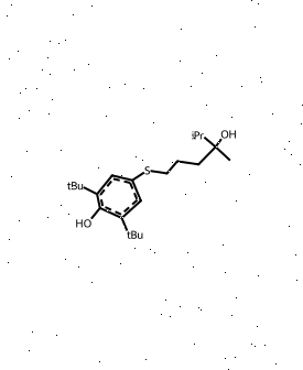 CC(C)C(C)(O)CCCSc1cc(C(C)(C)C)c(O)c(C(C)(C)C)c1